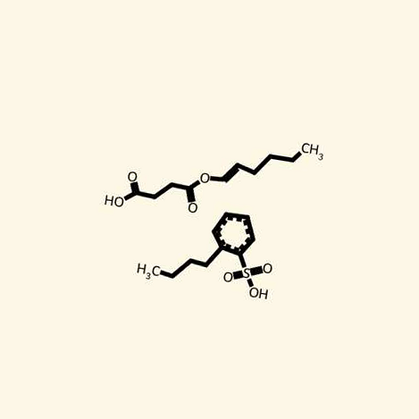 CCCCC=COC(=O)CCC(=O)O.CCCCc1ccccc1S(=O)(=O)O